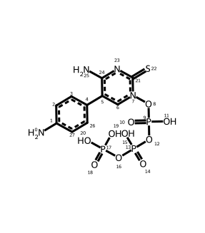 Nc1ccc(-c2cn(OP(=O)(O)OP(=O)(O)OP(=O)(O)O)c(=S)nc2N)cc1